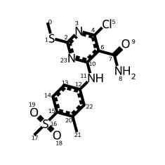 CSc1nc(Cl)c(C(N)=O)c(Nc2ccc(S(C)(=O)=O)c(C)c2)n1